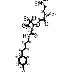 CCCN(CCN(CC)CC)C(=O)COC1N(C(=O)NCCCCc2ccc(C)cc2)C(=O)C1(CC)CC